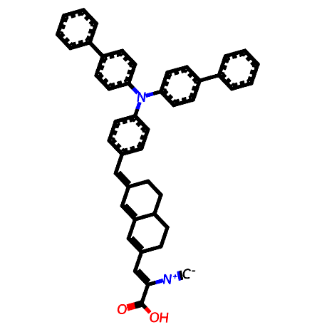 [C-]#[N+]/C(=C\C1=CC2=C/C(=C/c3ccc(N(c4ccc(-c5ccccc5)cc4)c4ccc(-c5ccccc5)cc4)cc3)CCC2CC1)C(=O)O